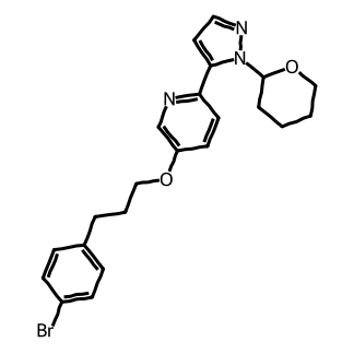 Brc1ccc(CCCOc2ccc(-c3ccnn3C3CCCCO3)nc2)cc1